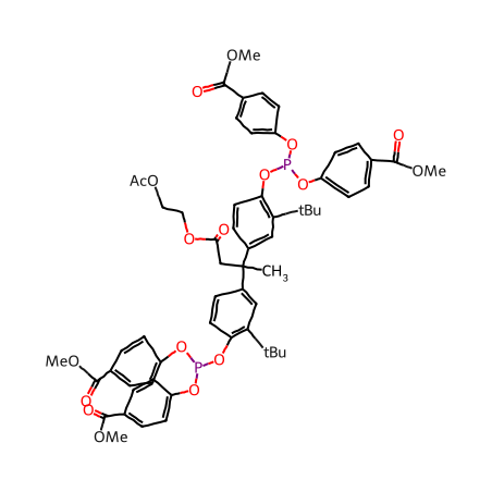 COC(=O)c1ccc(OP(Oc2ccc(C(=O)OC)cc2)Oc2ccc(C(C)(CC(=O)OCCOC(C)=O)c3ccc(OP(Oc4ccc(C(=O)OC)cc4)Oc4ccc(C(=O)OC)cc4)c(C(C)(C)C)c3)cc2C(C)(C)C)cc1